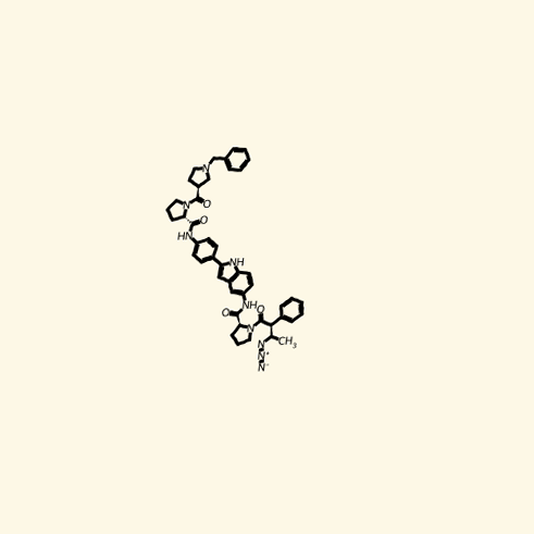 CC(N=[N+]=[N-])[C@@H](C(=O)N1CCC[C@H]1C(=O)Nc1ccc2[nH]c(-c3ccc(NC(=O)[C@@H]4CCCN4C(=O)[C@H]4CCN(Cc5ccccc5)C4)cc3)cc2c1)c1ccccc1